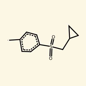 [CH2]c1ccc(S(=O)(=O)CC2CC2)cc1